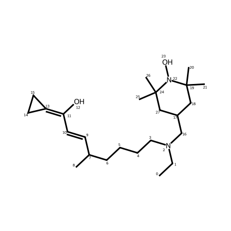 CCN(CCCCC(C)/C=C/C(O)=C1CC1)CC1CC(C)(C)N(O)C(C)(C)C1